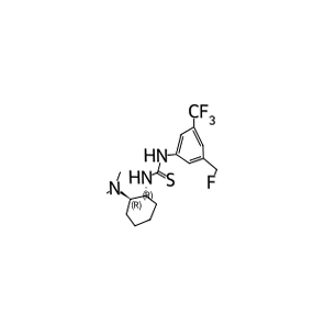 CN(C)[C@@H]1CCCC[C@H]1NC(=S)Nc1cc(CF)cc(C(F)(F)F)c1